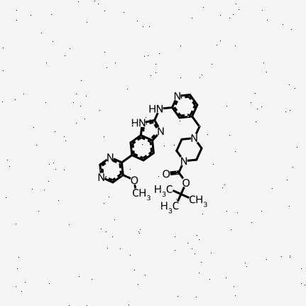 COc1cncnc1-c1ccc2nc(Nc3cc(CN4CCN(C(=O)OC(C)(C)C)CC4)ccn3)[nH]c2c1